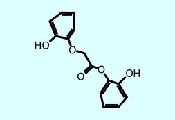 O=C(COc1ccccc1O)Oc1ccccc1O